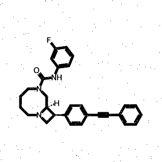 O=C(Nc1cccc(F)c1)N1CCCCN2C[C@H](c3ccc(C#Cc4ccccc4)cc3)[C@@H]2C1